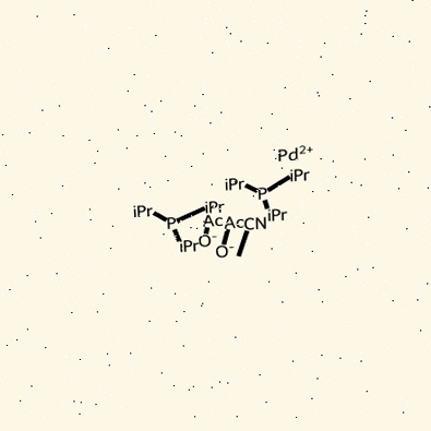 CC#N.CC(=O)[O-].CC(=O)[O-].CC(C)P(C(C)C)C(C)C.CC(C)P(C(C)C)C(C)C.[Pd+2]